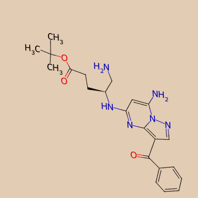 CC(C)(C)OC(=O)CC[C@@H](CN)Nc1cc(N)n2ncc(C(=O)c3ccccc3)c2n1